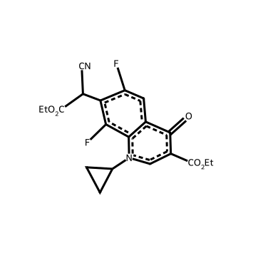 CCOC(=O)c1cn(C2CC2)c2c(F)c(C(C#N)C(=O)OCC)c(F)cc2c1=O